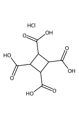 Cl.O=C(O)C1C(C(=O)O)C(C(=O)O)C1C(=O)O